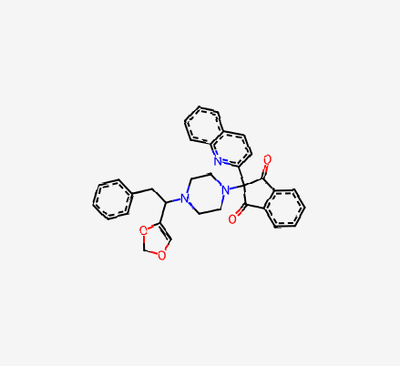 O=C1c2ccccc2C(=O)C1(c1ccc2ccccc2n1)N1CCN(C(Cc2ccccc2)C2=COCO2)CC1